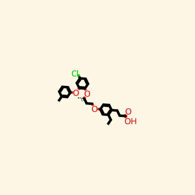 CCc1cc(OCC[C@H](C)Oc2ccc(Cl)cc2Oc2cccc(C)c2)ccc1CCC(=O)O